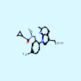 CCN(Cc1cc(C(F)(F)F)ccc1-n1cc(CC(=O)O)c2ccc(C)nc21)C(=O)C1CC1